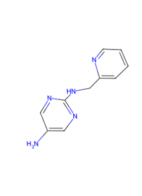 Nc1cnc(NCc2ccccn2)nc1